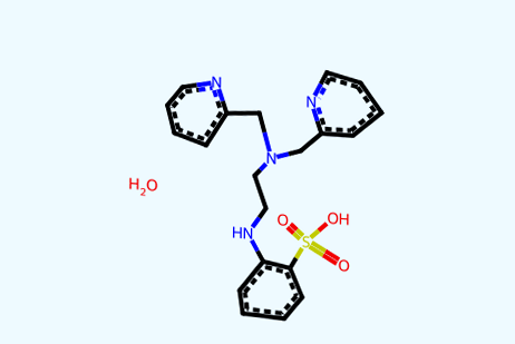 O.O=S(=O)(O)c1ccccc1NCCN(Cc1ccccn1)Cc1ccccn1